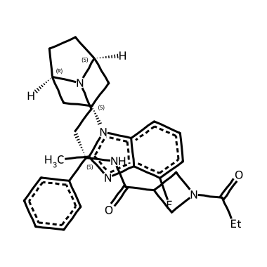 CCC(=O)N1CC(C(=O)N[C@@H](CCN2[C@@H]3CC[C@H]2C[C@H](n2c(C)nc4c(F)cccc42)C3)c2ccccc2)C1